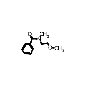 COCCN(C)C(=O)c1cc[c]cc1